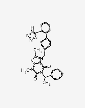 Cc1nc2c(c(=O)n(C(C)c3ccccc3)c(=O)n2C)n1Cc1ccc(-c2ccccc2-c2nnn[nH]2)cc1